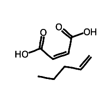 C=CCCC.O=C(O)/C=C\C(=O)O